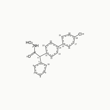 O=C(NO)C(c1ccccc1)c1ccc(-c2ccc(Cl)cc2)cc1